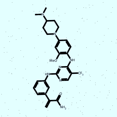 C=C(C(N)=O)c1cccc(Nc2ncc(C(F)(F)F)c(Nc3ccc(N4CCC(N(C)C)CC4)cc3OC)n2)c1